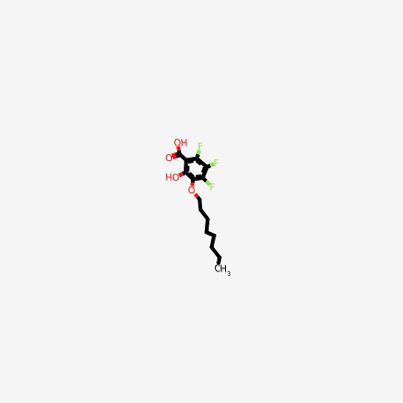 CCCCCCCCOc1c(O)c(C(=O)O)c(F)c(F)c1F